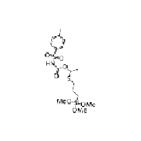 CO[Si](CCCSC(C)OC(=O)NS(=O)(=O)c1ccc(C)cc1)(OC)OC